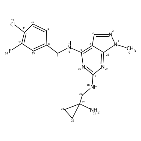 Cn1ncc2c(NCc3ccc(Cl)c(F)c3)nc(NCC3(N)CC3)nc21